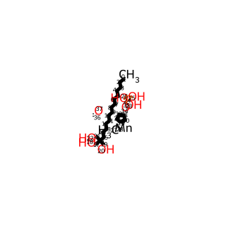 CCCCCCCCCCCCCCCCC(CO)(CO)CO.OP(O)O.[CH3][Mn][C]1=CC=CC1.[C]=O.[C]=O